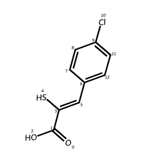 O=C(O)C(S)=Cc1ccc(Cl)cc1